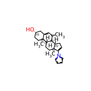 C[C@@H]1C=C2C[C@@H](O)CC[C@]2(C)[C@H]2CC[C@]3(C)C(n4cccc4)=CC[C@H]3[C@H]12